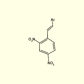 CC(=O)/C=C/c1ccc([N+](=O)[O-])cc1[N+](=O)[O-]